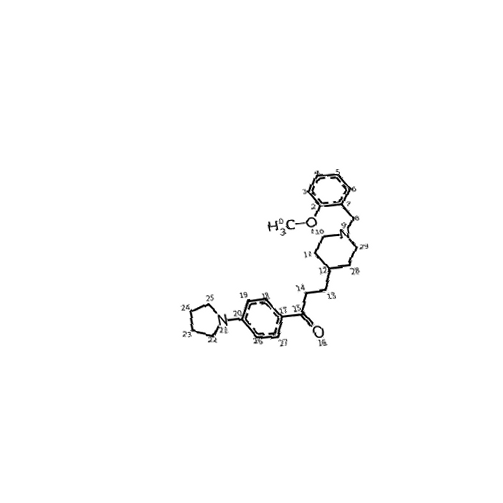 COc1ccccc1CN1CCC(CCC(=O)c2ccc(N3CCCC3)cc2)CC1